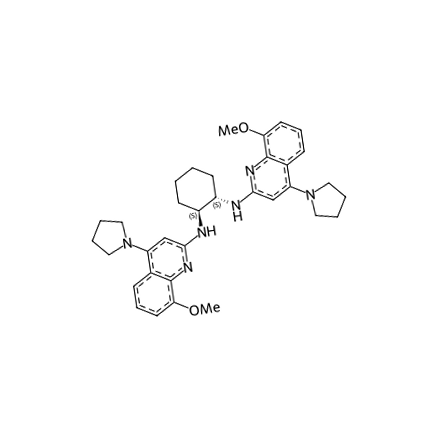 COc1cccc2c(N3CCCC3)cc(N[C@H]3CCCC[C@@H]3Nc3cc(N4CCCC4)c4cccc(OC)c4n3)nc12